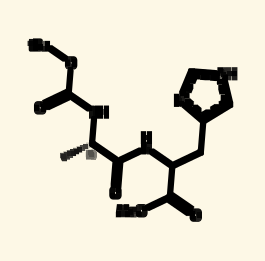 COC(=O)C(Cc1c[nH]cn1)NC(=O)[C@H](C)NC(=O)OC(C)(C)C